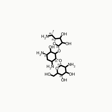 C[C@@H](N)[C@H]1O[C@@H](OC2C(O)[C@H](N)CC(N)[C@H]2O[C@H]2OC(CO)[C@@H](O)C(O)C2N)C(O)C1O